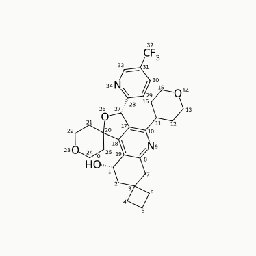 O[C@H]1CC2(CCC2)Cc2nc(C3CCOCC3)c3c(c21)C1(CCOCC1)O[C@@H]3c1ccc(C(F)(F)F)cn1